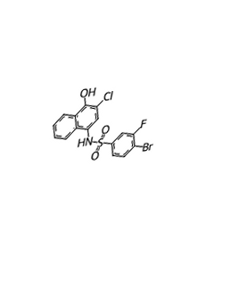 O=S(=O)(Nc1cc(Cl)c(O)c2ccccc12)c1ccc(Br)c(F)c1